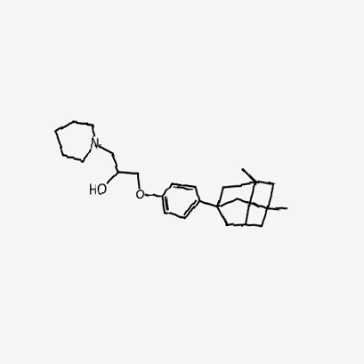 CC12CC3CC4(c5ccc(OCC(O)CN6CCCCC6)cc5)CC(C)(C1)C32C4